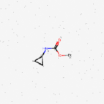 [CH2]COC(=O)NC1CC1